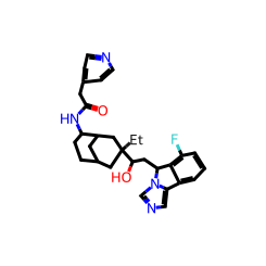 CCC1(C(O)CC2c3c(F)cccc3-c3cncn32)CC2CCC(NC(=O)Cc3ccncc3)C(C2)C1